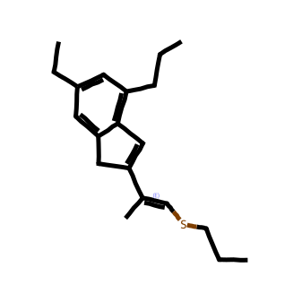 CCCS/C=C(\C)C1=Cc2c(CCC)cc(CC)cc2C1